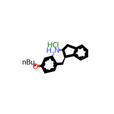 CCCCOc1ccc(C[C@@H]2c3ccccc3C[C@@H]2N)cc1.Cl